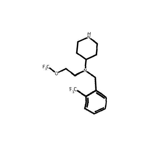 FC(F)(F)OCCN(Cc1ccccc1C(F)(F)F)C1CCNCC1